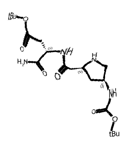 CC(C)(C)OC(=O)C[C@H](NC(=O)[C@@H]1C[C@H](NC(=O)OC(C)(C)C)CN1)C(N)=O